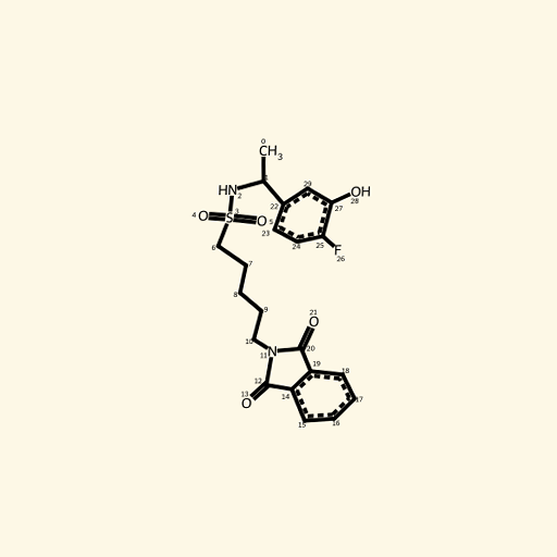 CC(NS(=O)(=O)CCCCCN1C(=O)c2ccccc2C1=O)c1ccc(F)c(O)c1